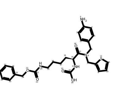 Nc1ccc(CN(Cc2cccs2)C(=O)[C@H](CCCCNC(=O)OCc2ccccc2)NC(=O)O)cc1